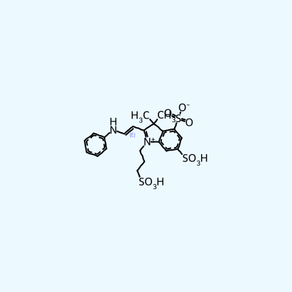 CC1(C)C(/C=C/Nc2ccccc2)=[N+](CCCS(=O)(=O)O)c2cc(S(=O)(=O)O)cc(S(=O)(=O)[O-])c21